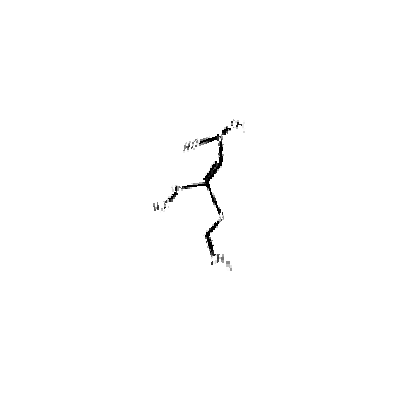 CCO/C(=C/N(C)O)NC